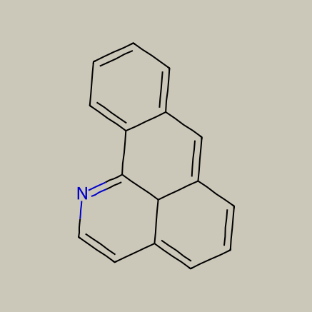 C1=CC2=Cc3ccccc3C3=NC=CC(=C1)C23